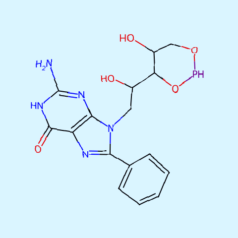 Nc1nc2c(nc(-c3ccccc3)n2CC(O)C2OPOCC2O)c(=O)[nH]1